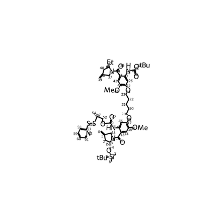 C=C1C[C@@H](CO[Si](C)(C)C(C)(C)C)N(C(=O)c2cc(OC)c(OCCCCCOc3cc(NC(=O)OC(C)(C)C)c(C(=O)N4CC(=C)C[C@H]4CC)cc3OC)cc2NC(=O)OC[C@@H](C)SSc2ccccn2)C1